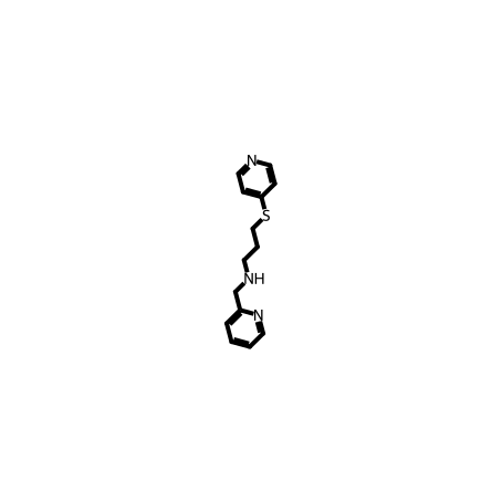 c1ccc(CNCCCSc2ccncc2)nc1